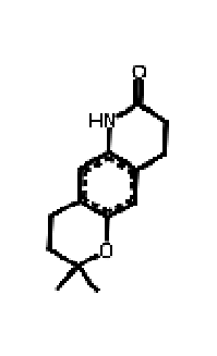 CC1(C)CCc2cc3c(cc2O1)CCC(=O)N3